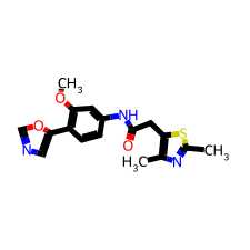 COc1cc(NC(=O)Cc2sc(C)nc2C)ccc1-c1cnco1